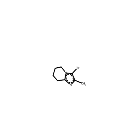 Cc1nc2n(c1Br)CCCC2